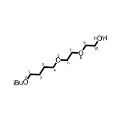 CC(C)COCCCCOCCOCCO